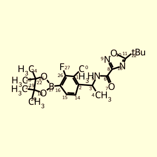 Cc1c(C(C)NC(=O)c2noc(C(C)(C)C)n2)ccc(B2OC(C)(C)C(C)(C)O2)c1F